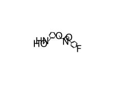 ONCc1cccc(OCc2coc(-c3ccc(F)cc3)n2)c1